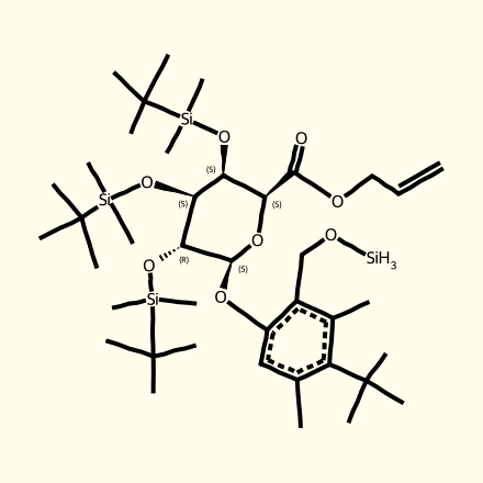 C=CCOC(=O)[C@H]1O[C@@H](Oc2cc(C)c(C(C)(C)C)c(C)c2CO[SiH3])[C@H](O[Si](C)(C)C(C)(C)C)[C@@H](O[Si](C)(C)C(C)(C)C)[C@H]1O[Si](C)(C)C(C)(C)C